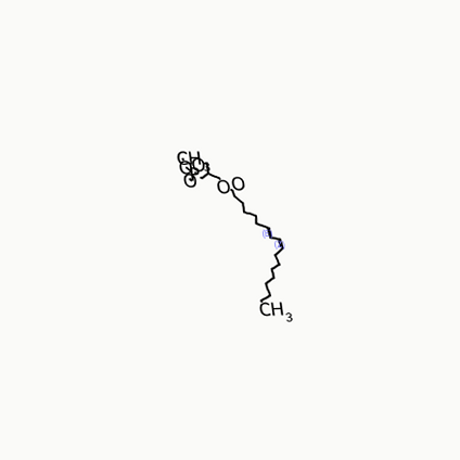 CCCCCCCC/C=C\C=C\CCCCCC(=O)OCC1COP(=O)(OC)C1